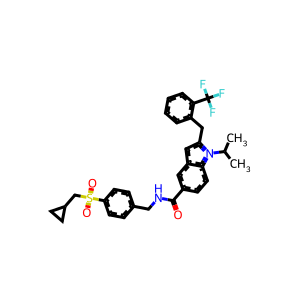 CC(C)n1c(Cc2ccccc2C(F)(F)F)cc2cc(C(=O)NCc3ccc(S(=O)(=O)CC4CC4)cc3)ccc21